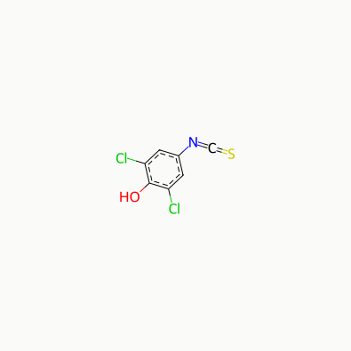 Oc1c(Cl)cc(N=C=S)cc1Cl